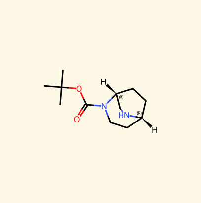 CC(C)(C)OC(=O)N1CC[C@H]2CC[C@@H]1CN2